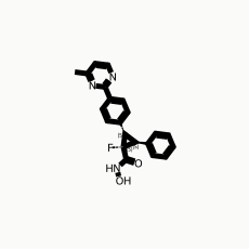 Cc1ccnc(-c2ccc([C@@H]3[C@@H](c4ccccc4)[C@@]3(F)C(=O)NO)cc2)n1